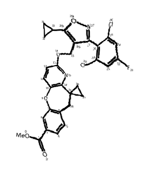 COC(=O)c1ccc2c(c1)Oc1ccc(OCc3c(-c4c(Cl)cc(F)cc4Cl)noc3C3CC3)nc1C1(CC1)C2